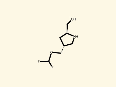 OC[C@@H]1C[C@@H](COC(F)F)CN1